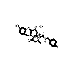 CCCCCCN1C[C@H]2N(C(=O)CN(C)N2C(=O)NCc2ccc(F)cc2)[C@@H](Cc2ccc(O)cc2)C1=O